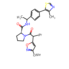 COc1cc(C(C(=O)N2CCC[C@H]2C(=O)NC(C)c2ccc(-c3scnc3C)cc2)C(C)C)on1